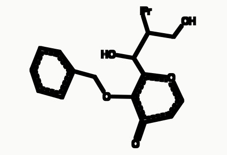 CC(C)C(CO)C(O)c1occc(=O)c1OCc1ccccc1